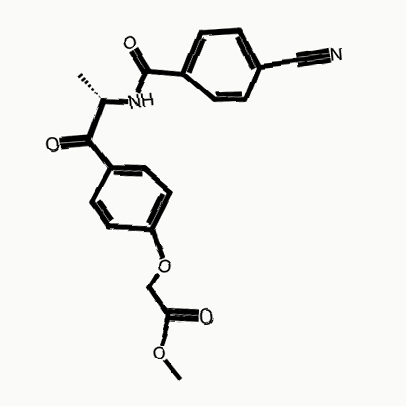 COC(=O)COc1ccc(C(=O)[C@H](C)NC(=O)c2ccc(C#N)cc2)cc1